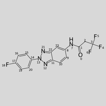 O=C(CC(F)(F)F)Nc1ccc2nn(-c3ccc(F)cc3)nc2c1